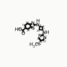 CSc1cnc(NC2CC(Nc3nc4ccc(C(=O)O)cc4s3)C2)nc1